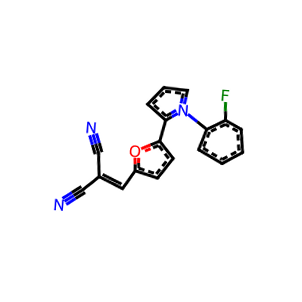 N#CC(C#N)=Cc1ccc(-c2cccn2-c2ccccc2F)o1